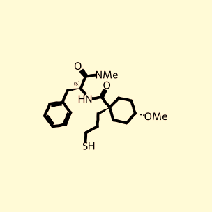 CNC(=O)[C@H](Cc1ccccc1)NC(=O)[C@]1(CCCS)CC[C@H](OC)CC1